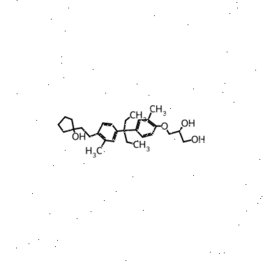 CCC(CC)(c1ccc(CCC2(O)CCCC2)c(C)c1)c1ccc(OC[C@@H](O)CO)c(C)c1